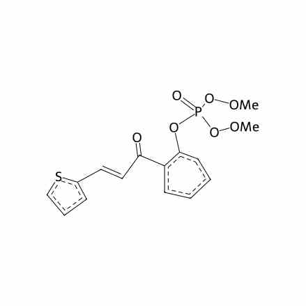 COOP(=O)(OOC)Oc1ccccc1C(=O)C=Cc1cccs1